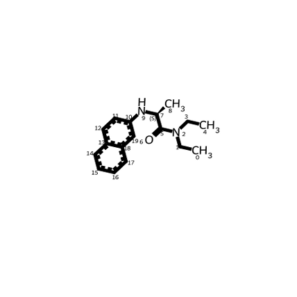 CCN(CC)C(=O)[C@H](C)Nc1ccc2ccccc2c1